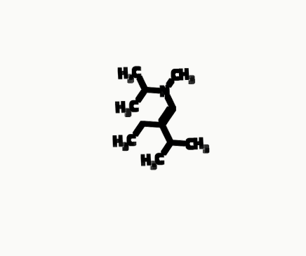 CC/C(=C\N(C)C(C)C)C(C)C